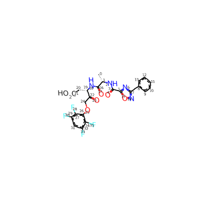 C[C@H](NC(=O)c1nc(-c2ccccc2)no1)C(=O)N[C@@H](CC(=O)O)C(=O)COc1c(F)c(F)cc(F)c1F